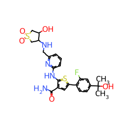 CC(C)(O)c1ccc(-c2cc(C(N)=O)c(Nc3cccc(CNC4CS(=O)(=O)CC4O)n3)s2)c(F)c1